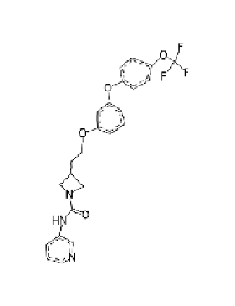 O=C(Nc1cccnc1)N1CC(CCOc2cccc(Oc3ccc(OC(F)(F)F)cc3)c2)C1